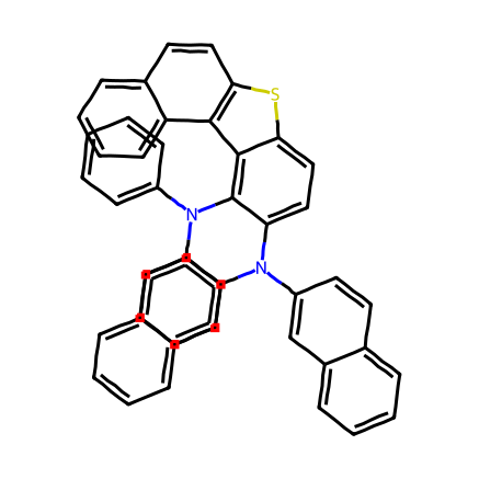 c1ccc(N(c2ccc3ccccc3c2)c2ccc3sc4ccc5ccccc5c4c3c2N(c2ccccc2)c2ccc3ccccc3c2)cc1